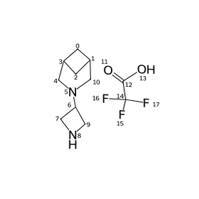 C1C2CC1CN(C1CNC1)C2.O=C(O)C(F)(F)F